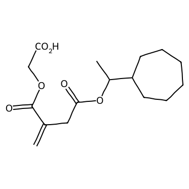 C=C(CC(=O)OC(C)C1CCCCCC1)C(=O)OCC(=O)O